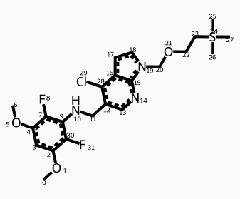 COc1cc(OC)c(F)c(NCc2cnc3c(ccn3COCCS(C)(C)C)c2Cl)c1F